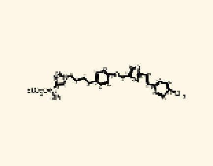 CCOC(=O)N(c1cn(CCCCc2ccc(OCc3coc(C=Cc4ccc(C(F)(F)F)cc4)n3)cc2)nn1)C(C)C